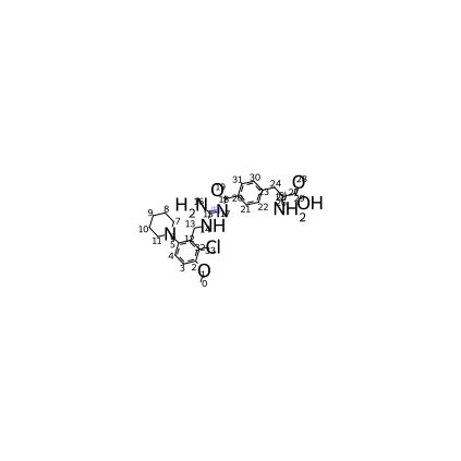 COc1ccc(N2CCCCC2)c(CN/C(N)=N/C(=O)c2ccc(C[C@H](N)C(=O)O)cc2)c1Cl